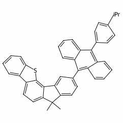 CC(C)c1ccc(-c2c3ccccc3c(-c3ccc4c(c3)-c3c(ccc5c3sc3ccccc35)C4(C)C)c3ccccc23)cc1